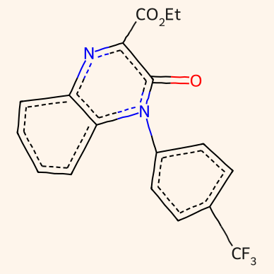 CCOC(=O)c1nc2ccccc2n(-c2ccc(C(F)(F)F)cc2)c1=O